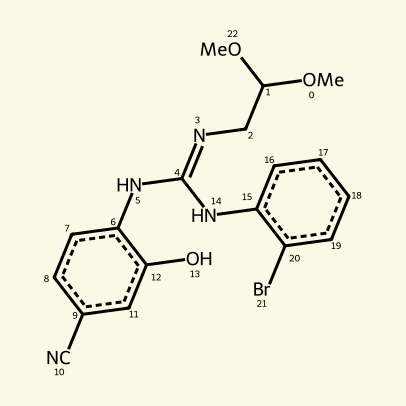 COC(CN=C(Nc1ccc(C#N)cc1O)Nc1ccccc1Br)OC